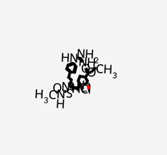 CCOC(=O)C1CCN(Cc2sc(NC(C)=O)nc2CCc2ccc(NC(=N)N)cc2)CC1.Cl.Cl